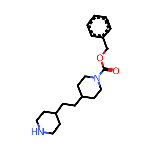 O=C(OCc1ccccc1)N1CCC(CCC2CCNCC2)CC1